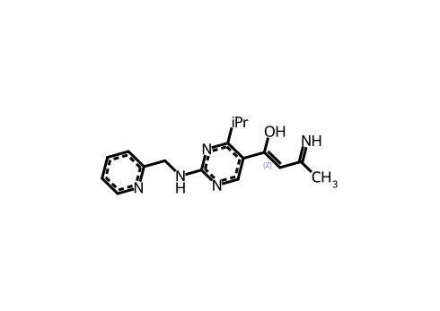 CC(=N)/C=C(\O)c1cnc(NCc2ccccn2)nc1C(C)C